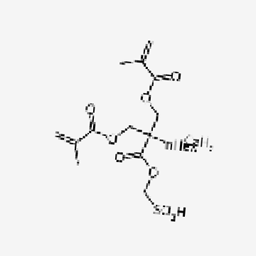 C=C(C)C(=O)OCC(CCCCCC)(COC(=O)C(=C)C)C(=O)OCS(=O)(=O)O.[CaH2]